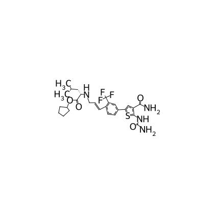 CC(C)C[C@H](NCC=Cc1ccc(-c2cc(C(N)=O)c(NC(N)=O)s2)cc1C(F)(F)F)C(=O)OC1CCCC1